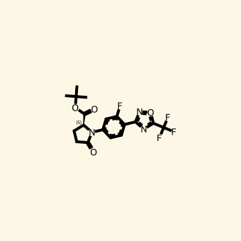 CC(C)(C)OC(=O)[C@@H]1CCC(=O)N1c1ccc(-c2noc(C(F)(F)F)n2)c(F)c1